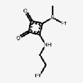 CCN(C)c1c(NCCC(C)C)c(=O)c1=O